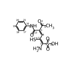 CC(=O)/C(=C/C(S)=C(/N)S(=O)(=O)O)C(=O)Nc1ccccc1